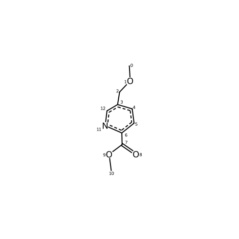 COCc1ccc(C(=O)OC)nc1